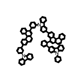 c1ccc(-n2c3ccccc3c3cc(-c4ccccc4-c4cc5ccc6ccccc6c5c5ccc(-c6ccc7c(c6)c6ccccc6n7-c6cccc(-c7cc8ccc9cc(-c%10cccc(-n%11c%12ccccc%12c%12ccccc%12%11)c%10)ccc9c8c8ccccc78)c6)cc45)ccc32)cc1